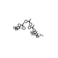 CC(=O)[O-].CC(=O)[O-].CC(=O)[O-].[Bi+3].[Bi+3].[OH-].[OH-].[OH-]